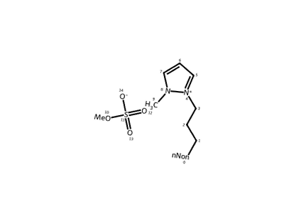 CCCCCCCCCCCC[n+]1cccn1C.COS(=O)(=O)[O-]